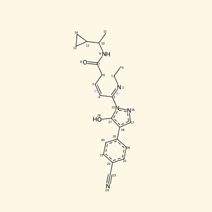 CC/N=C(\C=C/CC(=O)NC(C)C1CC1)n1ncc(-c2ccc(C#N)cc2)c1O